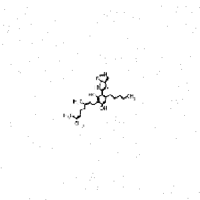 CCCCCc1cc(O)c(CC=C(C)CCC=C(C)C)c(O)c1-c1nc2cncnc2[nH]1